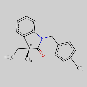 C[C@]1(CC(=O)O)C(=O)N(Cc2ccc(C(F)(F)F)cc2)c2ccccc21